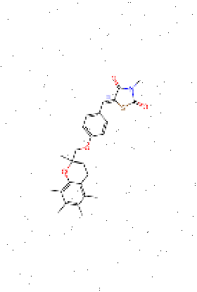 Cc1c(C)c(C)c2c(c1C)CCC(C)(COc1ccc(/C=C3\SC(=O)N(C)C3=O)cc1)O2